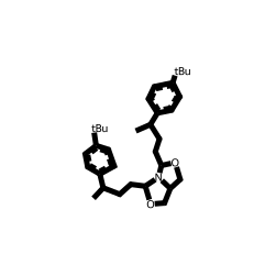 CC(CCC1OCC2COC(CCC(C)c3ccc(C(C)(C)C)cc3)N21)c1ccc(C(C)(C)C)cc1